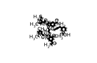 CCn1nc(C)cc1C(=O)Nc1nc2cc(C(N)=O)cc(OC)c2n1CC=CCn1c(NC(=O)c2cc(C)nn2CC)nc2cc(C(N)=O)cc(OCC#CCC3CCCN(C(=O)O)C3)c21